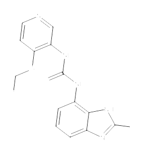 CCOc1ccncc1NC(=S)Nc1cccc2nc(C)[nH]c12